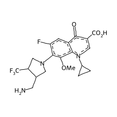 COc1c(N2CC(CN)C(C(F)(F)F)C2)c(F)cc2c(=O)c(C(=O)O)cn(C3CC3)c12